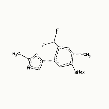 CCCCCCc1cc(-c2cnn(C)c2)c(C(F)F)cc1C